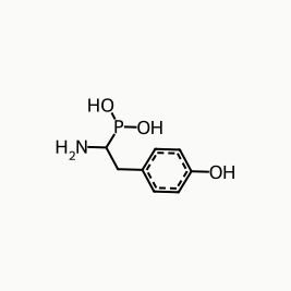 NC(Cc1ccc(O)cc1)P(O)O